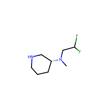 CN(CC(F)F)[C@@H]1CCCNC1